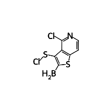 Bc1sc2ccnc(Cl)c2c1SCl